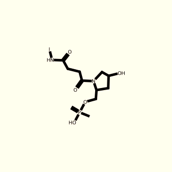 C=P(C)(O)OCC1CC(O)CN1C(=O)CCC(=O)NI